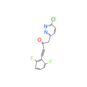 O=C(C#Cc1c(F)cccc1F)Cc1ccc(Cl)nn1